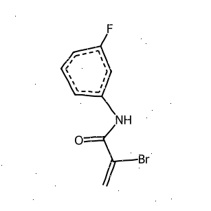 C=C(Br)C(=O)Nc1cccc(F)c1